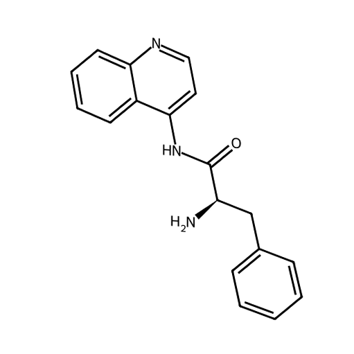 N[C@H](Cc1ccccc1)C(=O)Nc1ccnc2ccccc12